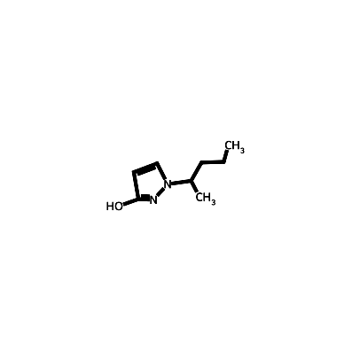 CCCC(C)n1ccc(O)n1